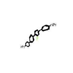 CCCc1ccc(-c2ccc(-c3ccc(C4CCC(CCC)CC4)cc3)c(F)c2)cc1